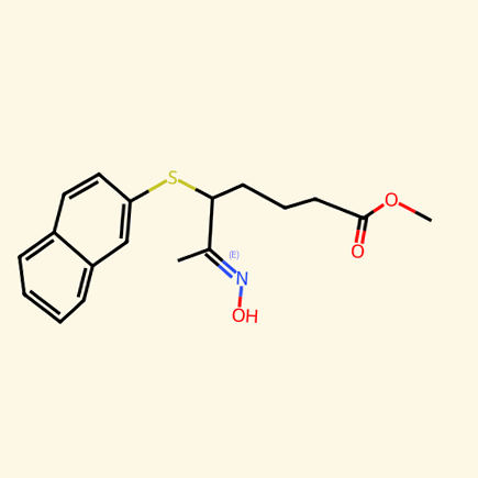 COC(=O)CCCC(Sc1ccc2ccccc2c1)/C(C)=N/O